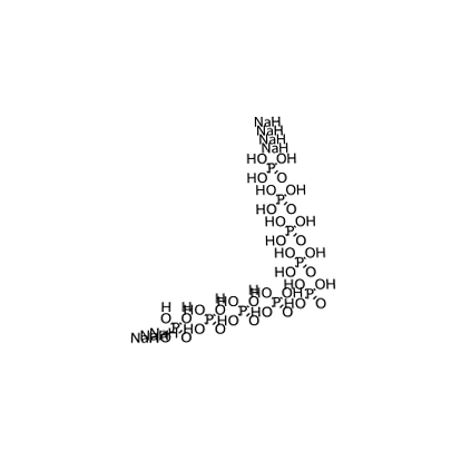 O=P(O)(O)O.O=P(O)(O)O.O=P(O)(O)O.O=P(O)(O)O.O=P(O)(O)O.O=P(O)(O)O.O=P(O)(O)O.O=P(O)(O)O.O=P(O)(O)O.[NaH].[NaH].[NaH].[NaH].[NaH].[NaH].[NaH]